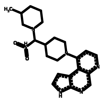 CC1CCCN(C(C2CCN(c3ccnc4cnc5[nH]ccc5c34)CC2)[SH](=O)=O)C1